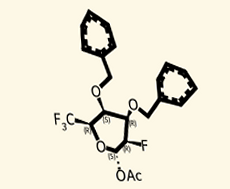 CC(=O)O[C@@H]1O[C@@H](C(F)(F)F)[C@@H](OCc2ccccc2)[C@@H](OCc2ccccc2)[C@H]1F